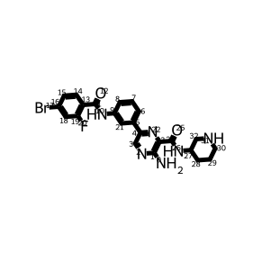 Nc1ncc(-c2cccc(NC(=O)c3ccc(Br)cc3F)c2)nc1C(=O)NC1CCCNC1